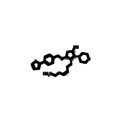 O=C(O)CC/C=C\CC[C@@H]1[C@@H](N2CCOCC2)[C@H](O)C[C@@H]1OCc1ccc(-c2cccs2)cc1